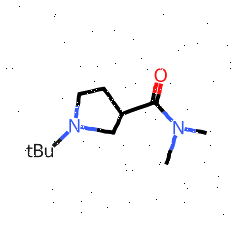 CN(C)C(=O)C1CCN(C(C)(C)C)C1